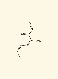 C/C=C\C=C(\O)C(=O)C=O